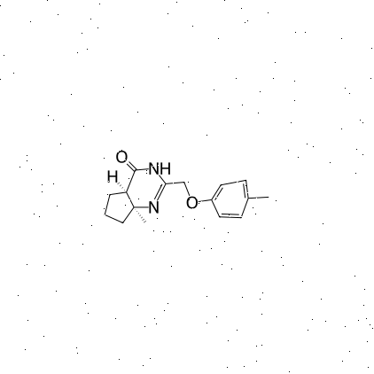 Cc1ccc(OCC2=N[C@@]3(C)CCC[C@H]3C(=O)N2)cc1